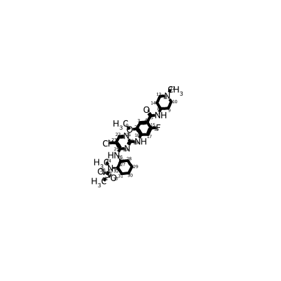 COc1cc(C(=O)NC2CCN(C)CC2)c(F)cc1Nc1ncc(Cl)c(N[C@@H]2CCCC[C@H]2N(C)S(C)(=O)=O)n1